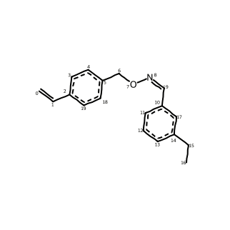 C=Cc1ccc(CO/N=[C]\c2cccc(CC)c2)cc1